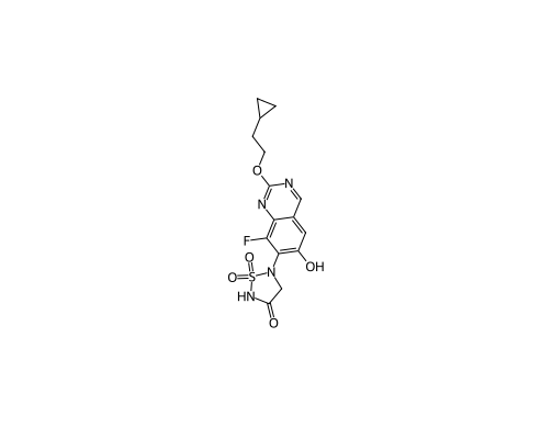 O=C1CN(c2c(O)cc3cnc(OCCC4CC4)nc3c2F)S(=O)(=O)N1